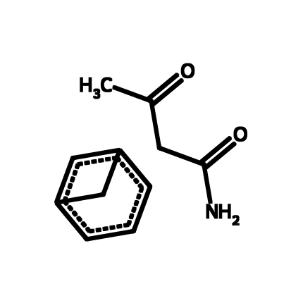 CC(=O)CC(N)=O.c1cc2cc(c1)C2